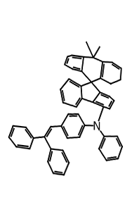 CC1(C)C2=C(CCC=C2)C2(c3ccccc3-c3c(N(c4ccccc4)c4ccc(C=C(c5ccccc5)c5ccccc5)cc4)cccc32)c2ccccc21